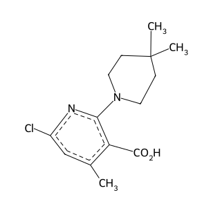 Cc1cc(Cl)nc(N2CCC(C)(C)CC2)c1C(=O)O